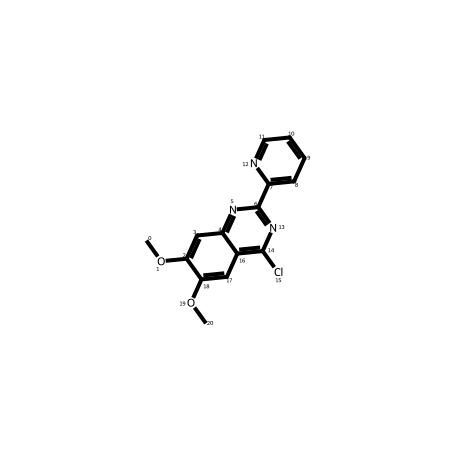 COc1cc2nc(-c3ccccn3)nc(Cl)c2cc1OC